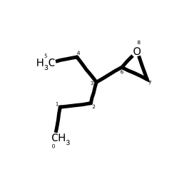 CCCC(CC)C1CO1